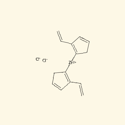 C=CC1=[C]([Zr+2][C]2=C(C=C)C=CC2)CC=C1.[Cl-].[Cl-]